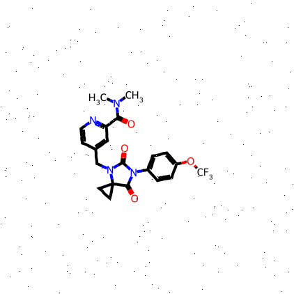 CN(C)C(=O)c1cc(CN2C(=O)N(c3ccc(OC(F)(F)F)cc3)C(=O)C23CC3)ccn1